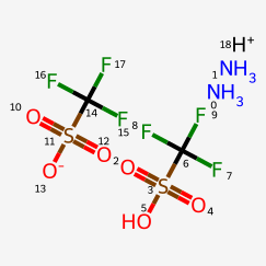 N.N.O=S(=O)(O)C(F)(F)F.O=S(=O)([O-])C(F)(F)F.[H+]